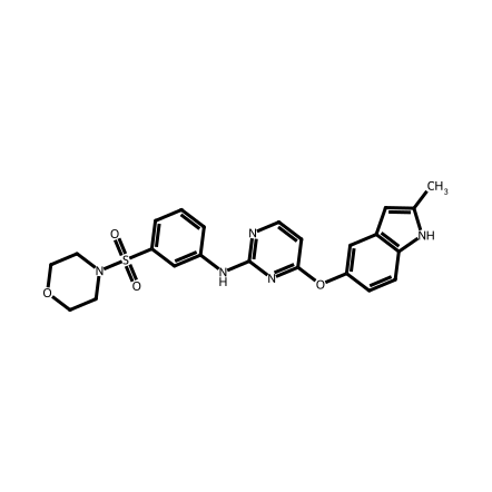 Cc1cc2cc(Oc3ccnc(Nc4cccc(S(=O)(=O)N5CCOCC5)c4)n3)ccc2[nH]1